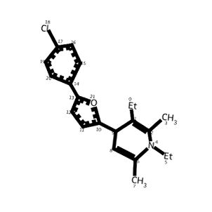 CCC1=C(C)N(CC)C(C)=CC1c1ccc(-c2ccc(Cl)cc2)o1